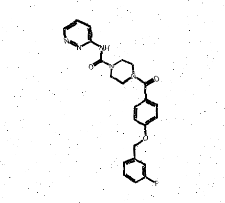 O=C(Nc1cccnn1)N1CCN(C(=O)c2ccc(OCc3cccc(F)c3)cc2)CC1